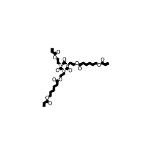 C=CC(=O)OCCCCCC(=O)OCCn1c(=O)n(CCOC(=O)C=C)c(=O)n(CCOC(=O)CCCCCOC(=O)C=C)c1=O